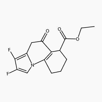 CCOC(=O)C1CCCC2=C1C(=O)Cc1c(F)c(F)cn12